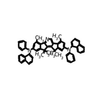 Cc1cc(N(c2ccccc2)c2cccc3ccccc23)cc2c1-c1cnc3c(c1C2(C)C)C(C)(C)c1cc(N(c2ccccc2)c2cccc4ccccc24)cc(C)c1-3